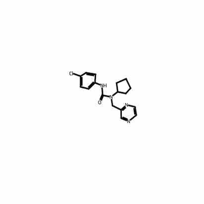 O=C(Nc1ccc(Cl)cc1)N(Cc1cnccn1)C1CCCC1